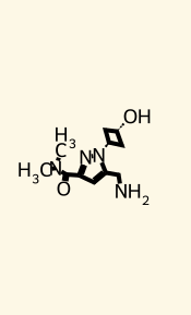 CN(C)C(=O)c1cc(CN)n([C@H]2C[C@@H](O)C2)n1